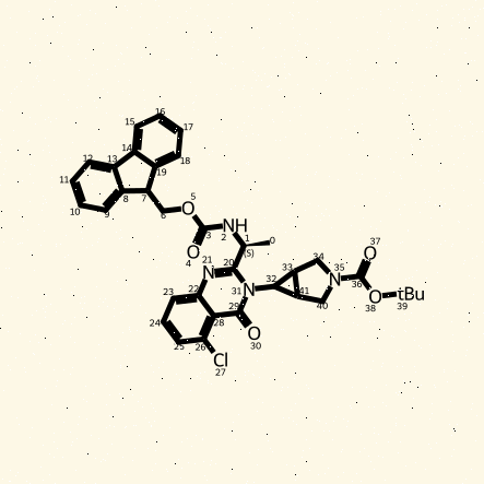 C[C@H](NC(=O)OCC1c2ccccc2-c2ccccc21)c1nc2cccc(Cl)c2c(=O)n1C1C2CN(C(=O)OC(C)(C)C)CC21